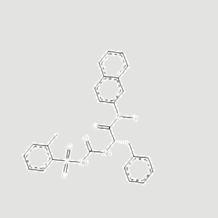 CCN(C(=O)[C@H](Cc1ccccc1)NC(=O)NS(=O)(=O)c1ccccc1C)c1ccc2ccccc2c1